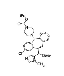 COC(C1=Cc2cccnc2[C@@H](N2CCN(C(=O)OC(C)C)CC2)c2ccc(Cl)cc21)c1cncn1C